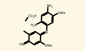 CC(=O)O.COC1=CC(=N)C(C)=CC1=Nc1cc(OC)c(N)cc1N